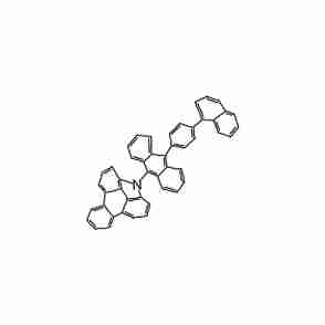 c1ccc2c(-c3ccc(-c4c5ccccc5c(-n5c6cccc7c8ccccc8c8cccc5c8c76)c5ccccc45)cc3)cccc2c1